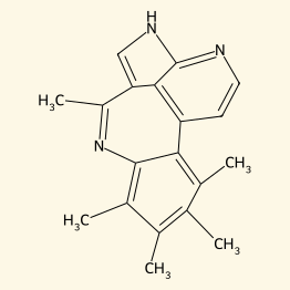 CC1=Nc2c(C)c(C)c(C)c(C)c2-c2ccnc3[nH]cc1c23